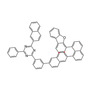 c1ccc(-c2nc(-c3cccc(-c4ccc5cc(-c6cccc7cccc(-c8cccc9c8oc8ccccc89)c67)ccc5c4)c3)nc(-c3ccc4ccccc4c3)n2)cc1